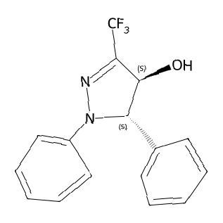 O[C@@H]1C(C(F)(F)F)=NN(c2ccccc2)[C@H]1c1ccccc1